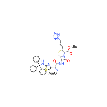 CON=C(C(=O)NC1C(=O)N2C(C(=O)OC(C)(C)C)=C(C=CCn3ncnn3)SCC12)c1csc(NC(c2ccccc2)(c2ccccc2)c2ccccc2)n1